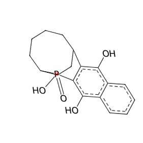 O=P1(O)c2c(c(O)c3ccccc3c2O)C2CCCCC1CC2